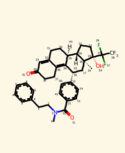 CN(CCc1ccccc1)C(=O)c1ccc([C@H]2C[C@@]3(C)[C@@H](CC[C@@]3(O)C(F)(F)C(F)(F)F)[C@@H]3CCC4=CC(=O)CCC4=C32)cc1